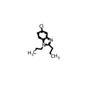 CCCc1nc2cc(Cl)ccc2n1CCC